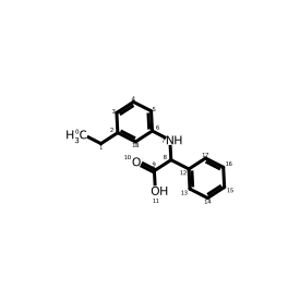 CCc1cccc(NC(C(=O)O)c2ccccc2)c1